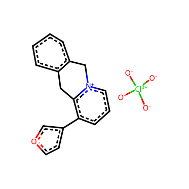 [O-][Cl+3]([O-])([O-])[O-].c1ccc2c(c1)Cc1c(-c3ccoc3)ccc[n+]1C2